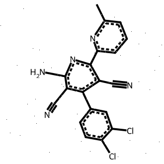 Cc1cccc(-c2nc(N)c(C#N)c(-c3ccc(Cl)c(Cl)c3)c2C#N)n1